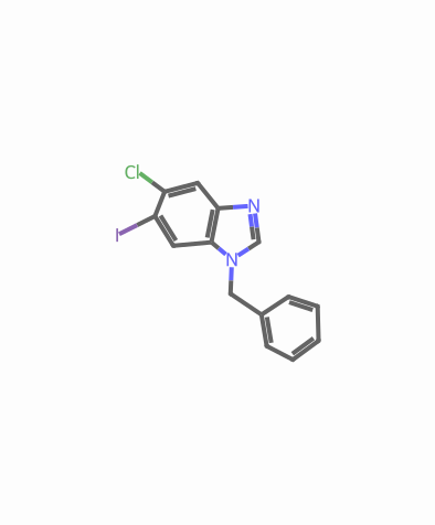 Clc1cc2ncn(Cc3ccccc3)c2cc1I